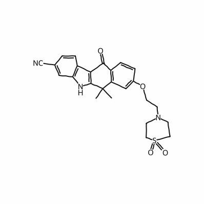 CC1(C)c2cc(OCCN3CCS(=O)(=O)CC3)ccc2C(=O)c2c1[nH]c1cc(C#N)ccc21